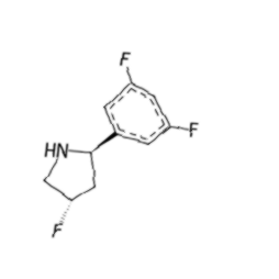 Fc1cc(F)cc([C@H]2C[C@H](F)CN2)c1